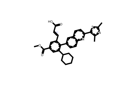 COC(=O)c1cc(/C=C/C(=O)O)c(-c2ccc3nc(-c4sc(C)nc4C)ccc3c2)c(C2CCCCC2)c1